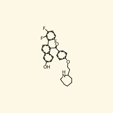 O=C(c1ccc(OCCC2CCCCCN2)cc1)c1c(-c2c(F)ccc(F)c2F)ccc2cc(O)ccc12